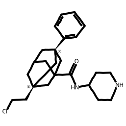 O=C(NC1CCNCC1)C12CC3C[C@@](CCCl)(C1)C[C@](c1ccccc1)(C3)C2